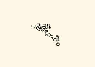 CC(C)(C)OC(=O)CCN(CC(=O)N1CCc2cc(OCc3ccc(Oc4ccccc4)c(C(F)(F)F)c3)ccc21)C(=O)OC(C)(C)C